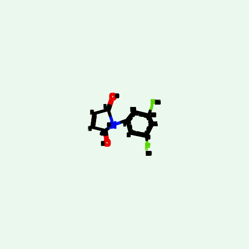 O=C1C=CC(=O)N1c1cc(F)cc(F)c1